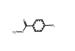 Nc1ccc(C(=O)OP)cc1